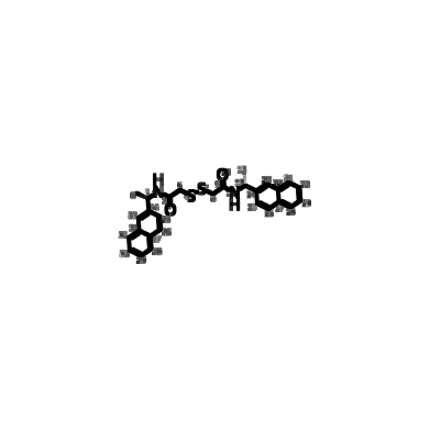 C[C@@H](NC(=O)CSSCC(=O)N[C@H](C)c1ccc2ccccc2c1)c1ccc2ccccc2c1